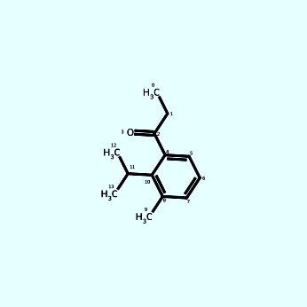 CCC(=O)c1cccc(C)c1C(C)C